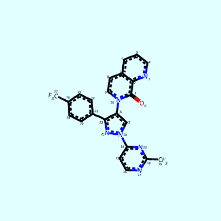 O=c1c2ncccc2ccn1-c1cn(-c2ccnc(C(F)(F)F)n2)nc1-c1ccc(C(F)(F)F)cc1